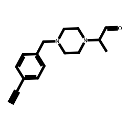 C#Cc1ccc(CN2CCN(C(C)C=O)CC2)cc1